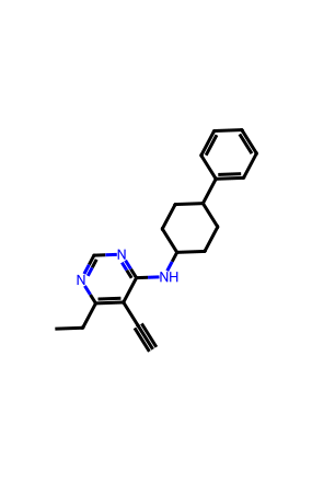 C#Cc1c(CC)ncnc1NC1CCC(c2ccccc2)CC1